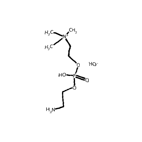 C[N+](C)(C)CCOP(=O)(O)OCCN.[OH-]